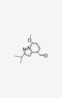 COc1ccc(C=O)c2cc(C(C)C)nn12